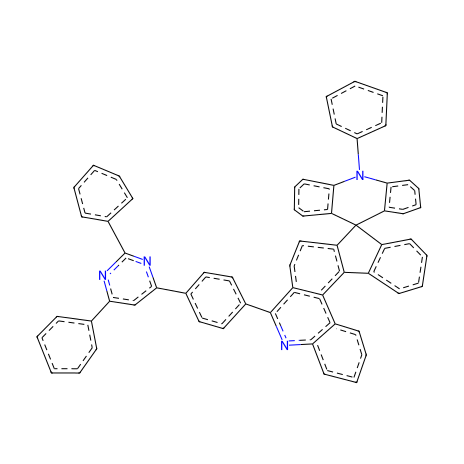 c1ccc(-c2cc(-c3ccc(-c4nc5ccccc5c5c6c(ccc45)C4(c5ccccc5-6)c5ccccc5N(c5ccccc5)c5ccccc54)cc3)nc(-c3ccccc3)n2)cc1